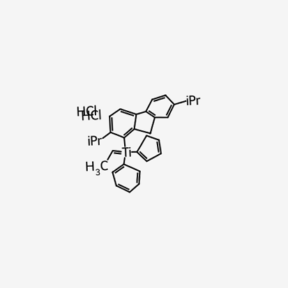 C[CH]=[Ti]([C]1=CC=CC1)([c]1ccccc1)[c]1c(C(C)C)ccc2c1Cc1cc(C(C)C)ccc1-2.Cl.Cl